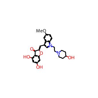 COc1ccc2c(c1)c(/C=C1\Oc3cc(O)cc(O)c3C1=O)cn2CCN1CCC(O)CC1